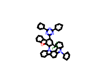 FC(F)(F)c1cc(-c2nc(-c3ccccc3)nc(-c3ccccc3)n2)c2c(oc3ccccc32)c1-n1c2ccccc2c2ccc3c(c4ccccc4n3-c3ccccc3)c21